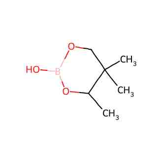 CC1OB(O)OCC1(C)C